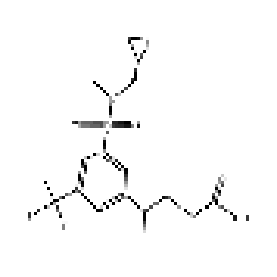 CC(CCC(=O)O)c1cc(C(F)(F)F)cc(S(=O)(=O)N(C)C[C@H]2CO2)c1